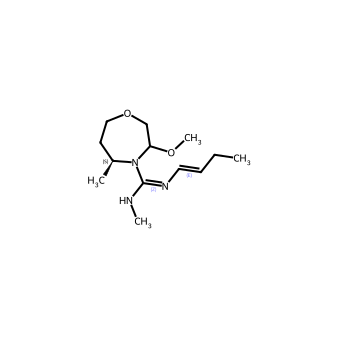 CC/C=C/N=C(/NC)N1C(OC)COCC[C@@H]1C